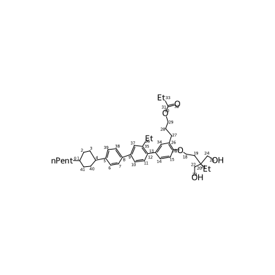 CCCCCC1CCC(c2ccc(-c3ccc(-c4ccc(OCCC(CC)(CO)CO)c(CCCOC(=O)CC)c4)c(CC)c3)cc2)CC1